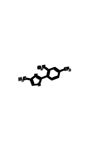 Cc1csc(-c2ccc(C(F)(F)F)cc2[N+](=O)[O-])n1